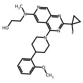 COc1ccccc1C1CCN(c2nc(C3(F)CC3)nc3cnc(N(C)CCO)cc23)CC1